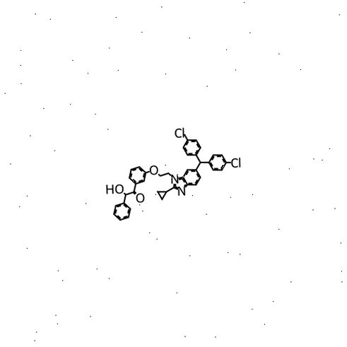 O=C(c1cccc(OCCn2c(C3CC3)nc3ccc(C(c4ccc(Cl)cc4)c4ccc(Cl)cc4)cc32)c1)C(O)c1ccccc1